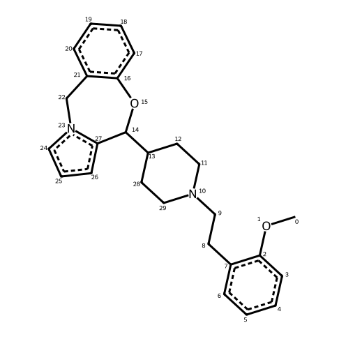 COc1ccccc1CCN1CCC(C2Oc3ccccc3Cn3cccc32)CC1